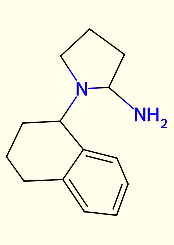 NC1CCCN1C1CCCc2ccccc21